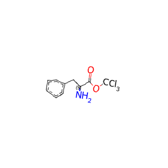 N[C@@H](Cc1ccccc1)C(=O)OC(Cl)(Cl)Cl